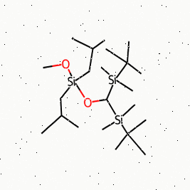 CO[Si](CC(C)C)(CC(C)C)OC([Si](C)(C)C(C)(C)C)[Si](C)(C)C(C)(C)C